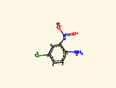 Nc1[c]cc(Cl)cc1[N+](=O)[O-]